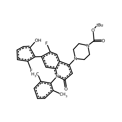 Cc1cccc(C)c1-n1c(=O)cc(N2CCN(C(=O)OC(C)(C)C)CC2)c2cc(F)c(-c3c(O)cccc3F)cc21